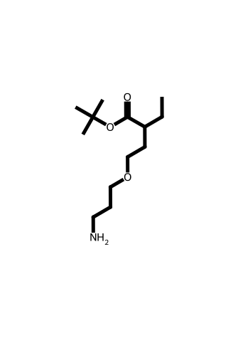 CCC(CCOCCCN)C(=O)OC(C)(C)C